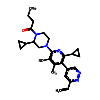 C=Cc1cc(-c2c(C3CC3)nc(N3CCN(C(=O)CCOC)C(C4CC4)C3)c(C#N)c2C)cnn1